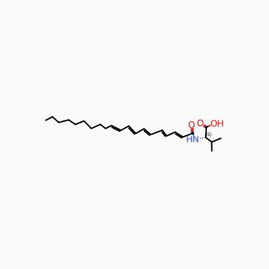 CCCCCCCCCC=CC=CC=CC=CC=CC(=O)N[C@H](C(=O)O)C(C)C